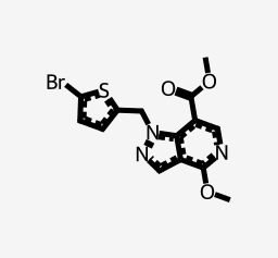 COC(=O)c1cnc(OC)c2cnn(Cc3ccc(Br)s3)c12